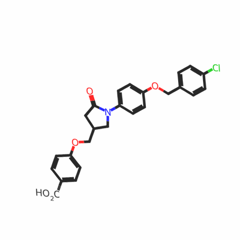 O=C(O)c1ccc(OCC2CC(=O)N(c3ccc(OCc4ccc(Cl)cc4)cc3)C2)cc1